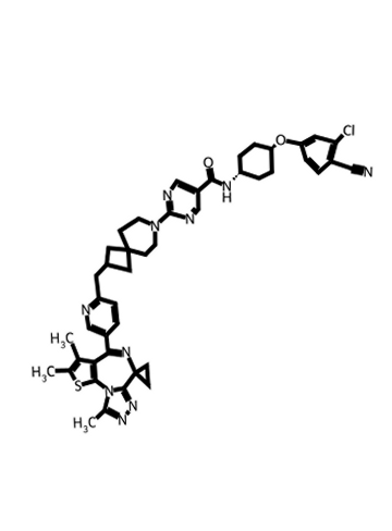 Cc1sc2c(c1C)C(c1ccc(CC3CC4(CCN(c5ncc(C(=O)N[C@H]6CC[C@H](Oc7ccc(C#N)c(Cl)c7)CC6)cn5)CC4)C3)nc1)=NC1(CC1)c1nnc(C)n1-2